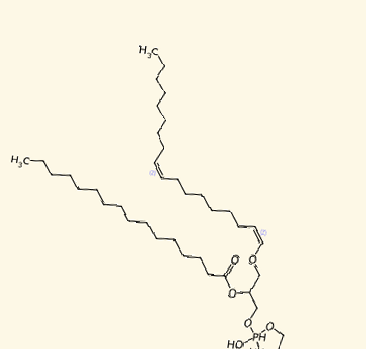 CCCCCCCC/C=C\CCCCCC/C=C\OCC(CO[PH]1(O)NCCO1)OC(=O)CCCCCCCCCCCCCCC